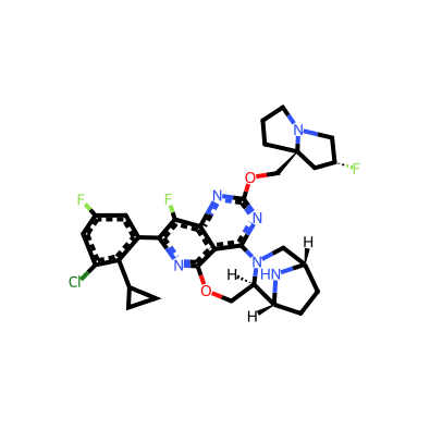 Fc1cc(Cl)c(C2CC2)c(-c2nc3c4c(nc(OC[C@@]56CCCN5C[C@H](F)C6)nc4c2F)N2C[C@@H]4CC[C@@H](N4)[C@H]2CO3)c1